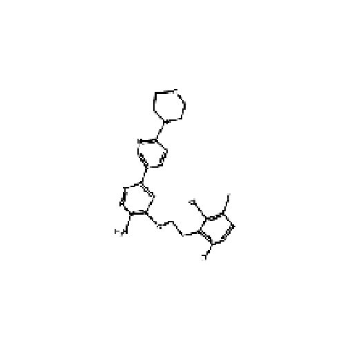 Nc1nnc(-c2ccc(N3CCOCC3)nc2)cc1OCCc1c(Cl)ccc(F)c1Cl